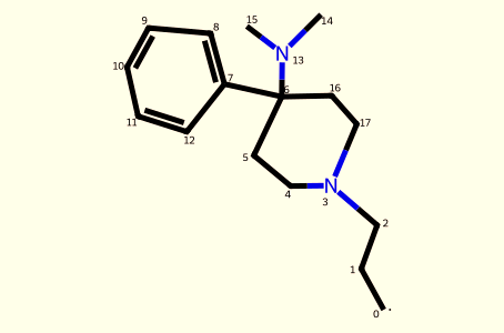 [CH2]CCN1CCC(c2ccccc2)(N(C)C)CC1